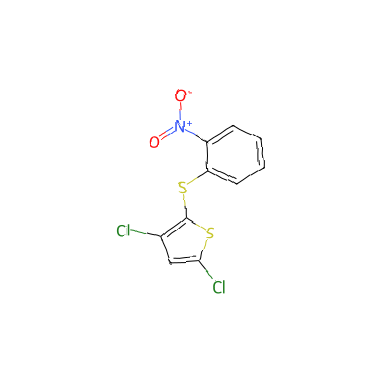 O=[N+]([O-])c1ccccc1Sc1sc(Cl)cc1Cl